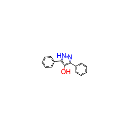 Oc1c(-c2ccccc2)n[nH]c1-c1ccccc1